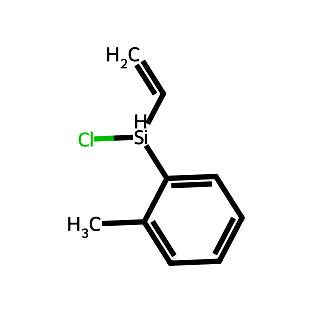 C=C[SiH](Cl)c1ccccc1C